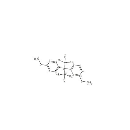 NCc1ccc(C(c2cccc(CN)c2)(C(F)(F)F)C(F)(F)F)cc1